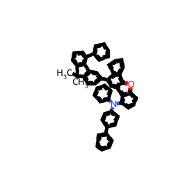 CC1(C)c2ccc(-c3cc4c(oc5cccc(N(c6ccccc6)c6ccc(-c7ccccc7)cc6)c54)c4ccccc34)cc2-c2c(-c3ccccc3)cccc21